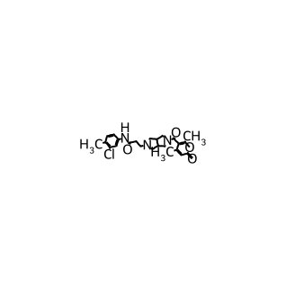 Cc1ccc(NC(=O)CCN2CC3CN(C(=O)c4c(C)cc(=O)oc4C)CC3C2)cc1Cl